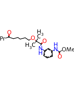 COC(=O)Nc1cccc(NC(=O)C(C)(C)OCCCCCC(=O)C(C)C)c1